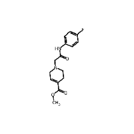 COC(=O)C1=CCN(CC(=O)Nc2ccc(F)cc2)CC1